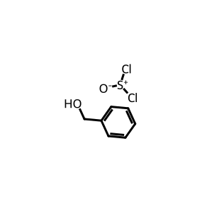 OCc1ccccc1.[O-][S+](Cl)Cl